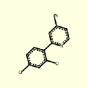 CC(C)c1ccnc(-c2ccc(Cl)cc2Cl)c1